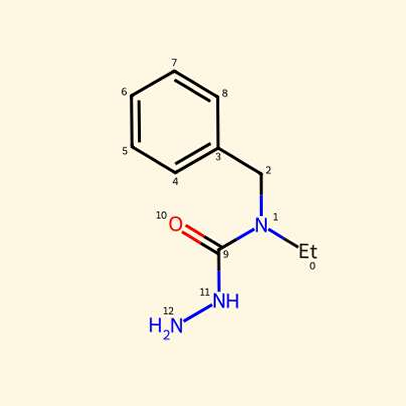 CCN(Cc1ccccc1)C(=O)NN